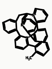 Cc1ccccc1-c1cccc2[n+]1-c1c3cccc1-c1cccc[n+]1/C(=C\[n+]1ccccc1-3)Cc1ccccc1-2